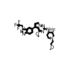 COCCN1CC[C@@H](Nc2nc(OC)c3c(-c4ccc5nnn(CC(F)(F)F)c5c4)ccn3n2)[C@H](F)C1